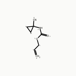 C=CCOC(=O)NC1(C#N)CC1